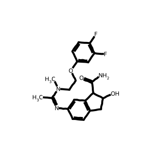 CC(=Nc1ccc2c(c1)C(C(N)=O)C(O)C2)N(C)CCOc1ccc(F)c(F)c1